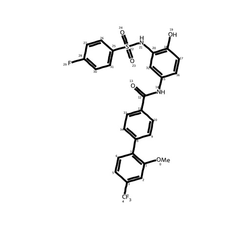 COc1cc(C(F)(F)F)ccc1-c1ccc(C(=O)Nc2ccc(O)c(NS(=O)(=O)c3ccc(F)cc3)c2)cc1